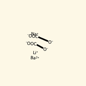 O=C([O-])[O-].O=C([O-])[O-].[Ba+2].[Li+].[Na+]